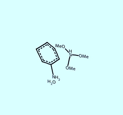 CO[SiH](OC)OC.Nc1ccccc1.O